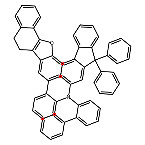 c1ccc(-c2ccccc2N(c2ccc3c(c2)C(c2ccccc2)(c2ccccc2)c2ccccc2-3)c2ccccc2-c2ccc3oc4c(c3c2)CCc2ccccc2-4)cc1